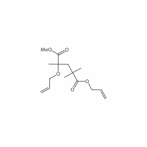 C=CCOC(=O)C(C)(C)CC(C)(OCC=C)C(=O)OC